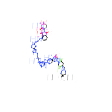 CC1(C)CCN(Cc2cc(F)c(N3CC(=O)NC4(CCN(c5cc(NCCCN6CC[C@@]7(CCN(CCNc8cccc9c8C(=O)N(C8CCC(=O)NC8=O)C9=O)C7)C6)ncn5)CC4)C3)cc2F)CC1